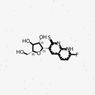 OC[C@H]1O[C@@H](c2cc3ccc(F)[nH]c-3nc2=S)[C@@H](O)C1O